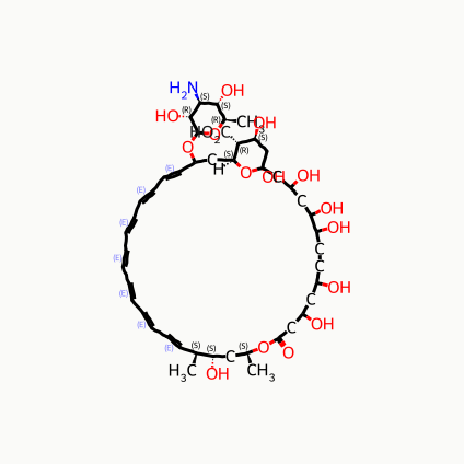 C[C@H]1C[C@H](O)[C@@H](C)/C=C/C=C/C=C/C=C/C=C/C=C/C=C/C(OC2O[C@H](C)[C@@H](O)[C@H](N)[C@H]2O)C[C@@H]2OC(O)(CC(O)CC(O)C(O)CCC(O)CC(O)CC(=O)O1)C[C@H](O)[C@H]2C(=O)O